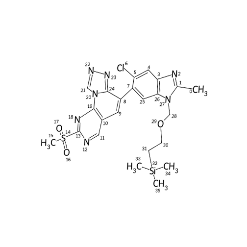 Cc1nc2cc(Cl)c(-c3cc4cnc(S(C)(=O)=O)nc4n4cnnc34)cc2n1COCC[Si](C)(C)C